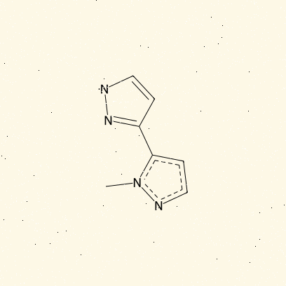 Cn1nccc1C1=N[N]C=C1